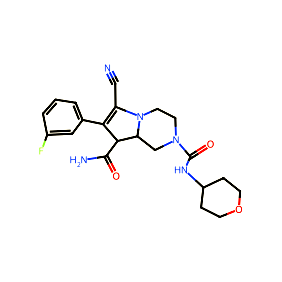 N#CC1=C(c2cccc(F)c2)C(C(N)=O)C2CN(C(=O)NC3CCOCC3)CCN12